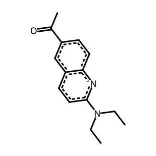 CCN(CC)c1ccc2cc(C(C)=O)ccc2n1